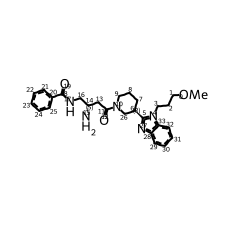 COCCCn1c([C@@H]2CCCN(C(=O)C[C@H](N)CNC(=O)c3ccccc3)C2)nc2ccccc21